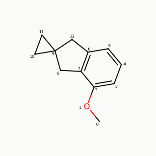 COc1cccc2c1CC1(CC1)C2